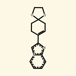 C1=C(c2cn3ccccc3n2)CCC2(C1)OCCO2